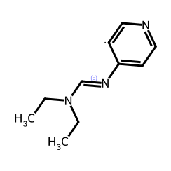 CCN(/C=N/c1[c]cncc1)CC